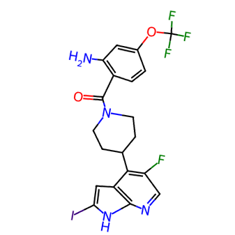 Nc1cc(OC(F)(F)F)ccc1C(=O)N1CCC(c2c(F)cnc3[nH]c(I)cc23)CC1